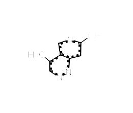 Cc1cc2nncc(C)c2cn1